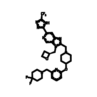 FC1(F)CCN(Cc2cccc(OC3CCN(Cc4nc5cc(-c6nnc(C(F)(F)F)[nH]6)ncc5n4C[C@@H]4CCO4)CC3)n2)CC1